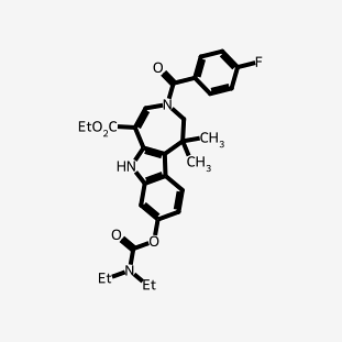 CCOC(=O)C1=CN(C(=O)c2ccc(F)cc2)CC(C)(C)c2c1[nH]c1cc(OC(=O)N(CC)CC)ccc21